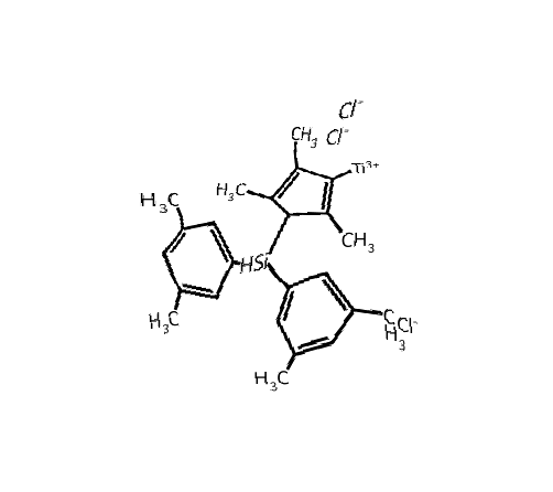 CC1=C(C)C([SiH](c2cc(C)cc(C)c2)c2cc(C)cc(C)c2)C(C)=[C]1[Ti+3].[Cl-].[Cl-].[Cl-]